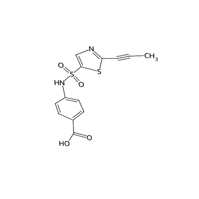 CC#Cc1ncc(S(=O)(=O)Nc2ccc(C(=O)O)cc2)s1